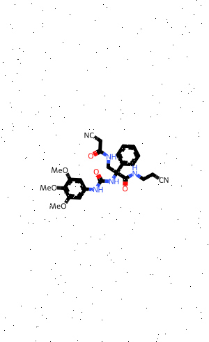 COc1cc(NC(=O)NC(CNC(=O)CC#N)(C(=O)NCCC#N)c2ccccc2)cc(OC)c1OC